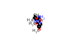 COc1ccc2c(c1)CCn1c-2c(OC)/c(=N/c2c(C)cc(C)cc2C)n(CCN)c1=O